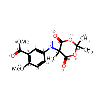 COC(=O)c1cc(NC2(C)C(=O)OC(C)(C)OC2=O)ccc1OC